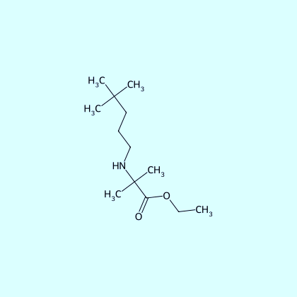 CCOC(=O)C(C)(C)NCCCC(C)(C)C